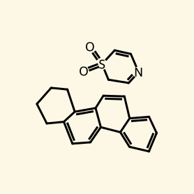 O=S1(=O)C=CN=CC1.c1ccc2c(c1)ccc1c3c(ccc12)CCCC3